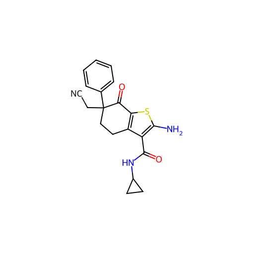 N#CCC1(c2ccccc2)CCc2c(sc(N)c2C(=O)NC2CC2)C1=O